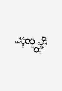 CNC(=O)c1cc2c(Oc3ccc(Cl)c(NC(=O)Nc4nccs4)c3)ccnc2cc1C